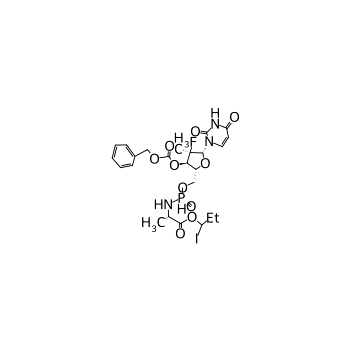 CCC(I)OC(=O)[C@H](C)N[PH](=O)OC[C@H]1O[C@@H](n2ccc(=O)[nH]c2=O)[C@](C)(F)[C@@H]1OC(=O)OCc1ccccc1